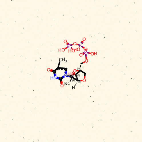 Cc1cn([C@]2(C#N)O[C@@]3(COP(=O)(O)OP(=O)(O)OP(=O)(O)O)CO[C@@H]2[C@@H]3O)c(=O)[nH]c1=O